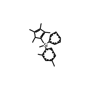 CC1=C(C)C(C)C([Si](C)(c2ccccc2)c2ccc(C)cc2C)=C1C